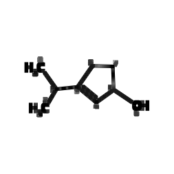 CC(C)C1=CC(O)CC1